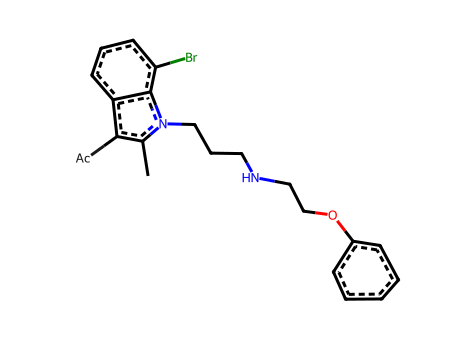 CC(=O)c1c(C)n(CCCNCCOc2ccccc2)c2c(Br)cccc12